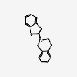 c1ccc2c(c1)CCN(C1Cc3ccccc3[N]1)C2